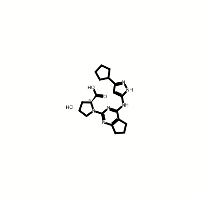 Cl.O=C(O)[C@@H]1CCCN1c1nc2c(c(Nc3cc(C4CCCC4)n[nH]3)n1)CCC2